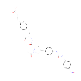 CC(=O)N1CC(c2ccc(NC(=O)Nc3ccc([N+](=O)[O-])cc3)cc2)CC1C(=O)NC(Cc1ccc(CCC(=O)O)cc1)C(=O)O